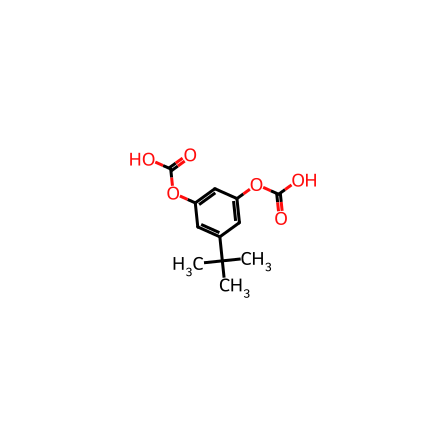 CC(C)(C)c1cc(OC(=O)O)cc(OC(=O)O)c1